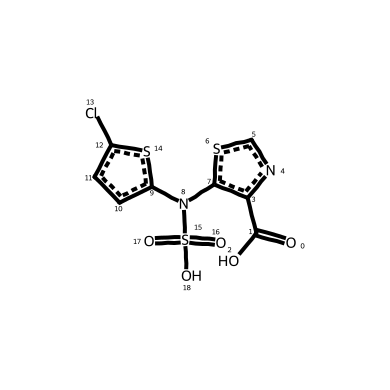 O=C(O)c1ncsc1N(c1ccc(Cl)s1)S(=O)(=O)O